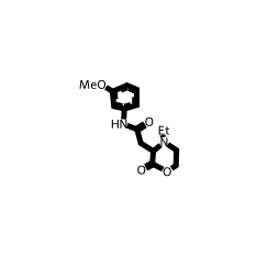 CCN1CCOC(=O)C1CC(=O)Nc1cccc(OC)c1